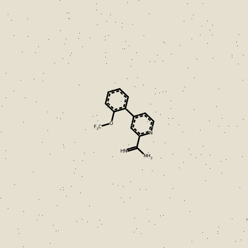 N=C(N)c1cc(-c2ccccc2OC(F)(F)F)ccn1